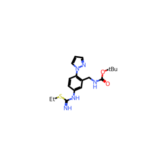 CCSC(=N)Nc1ccc(-n2cccn2)c(CNC(=O)OC(C)(C)C)c1